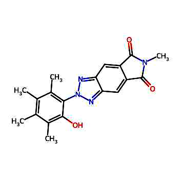 Cc1c(C)c(C)c(-n2nc3cc4c(cc3n2)C(=O)N(C)C4=O)c(O)c1C